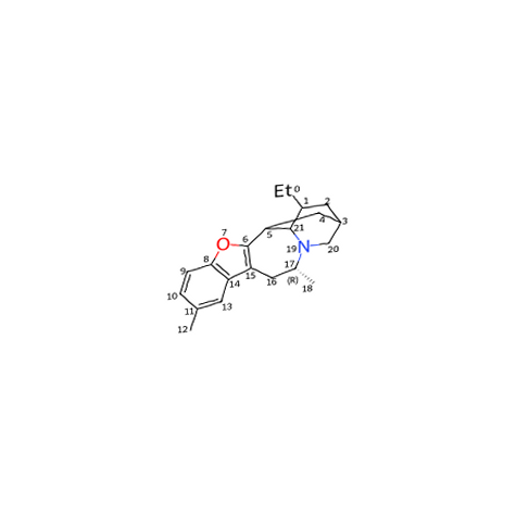 CCC1CC2CC3c4oc5ccc(C)cc5c4C[C@@H](C)N(C2)C13